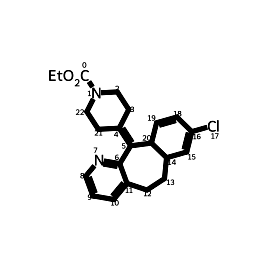 CCOC(=O)N1CCC(=C2c3ncccc3CCC3C=C(Cl)C=CC23)CC1